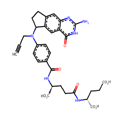 C#CCN(c1ccc(C(=O)N[C@@H](CCC(=O)N[C@H](CCC(=O)O)C(=O)O)C(=O)O)cc1)C1CCc2cc3nc(N)[nH]c(=O)c3cc21